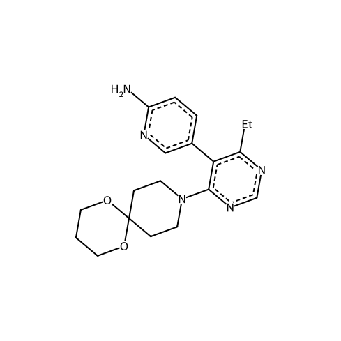 CCc1ncnc(N2CCC3(CC2)OCCCO3)c1-c1ccc(N)nc1